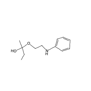 CCC(C)(O)OCCNc1ccccc1